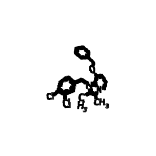 Cc1c(C)[n+]2cccc(OCc3ccccc3)c2n1Cc1ccc(Cl)c(Cl)c1